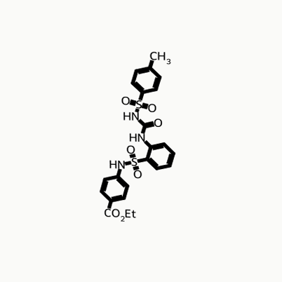 CCOC(=O)c1ccc(NS(=O)(=O)c2ccccc2NC(=O)NS(=O)(=O)c2ccc(C)cc2)cc1